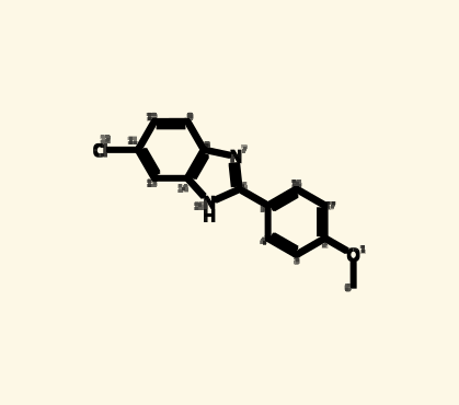 COc1ccc(-c2nc3ccc(Cl)cc3[nH]2)cc1